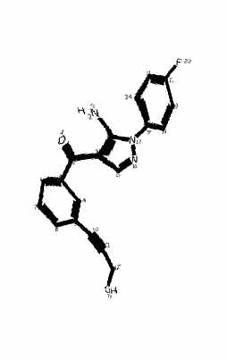 Nc1c(C(=O)c2cccc(C#CCO)c2)cnn1-c1ccc(F)cc1